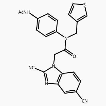 CC(=O)Nc1ccc(N(Cc2ccsc2)C(=O)Cn2c(C#N)nc3cc(C#N)ccc32)cc1